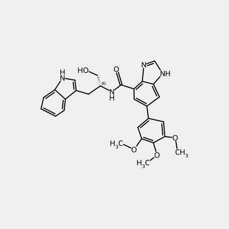 COc1cc(-c2cc(C(=O)N[C@@H](CO)Cc3c[nH]c4ccccc34)c3nc[nH]c3c2)cc(OC)c1OC